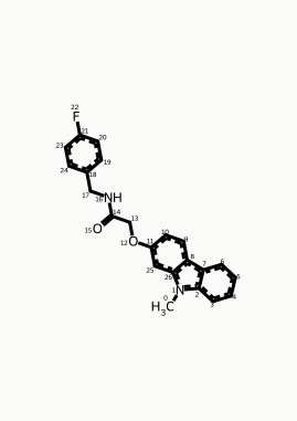 Cn1c2ccccc2c2ccc(OCC(=O)NCc3ccc(F)cc3)cc21